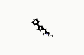 O/C=C(\F)Cc1cc(-c2ccncc2)cs1